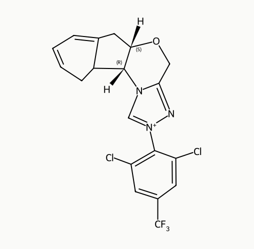 FC(F)(F)c1cc(Cl)c(-[n+]2cn3c(n2)CO[C@H]2CC4=CC=CCC4[C@H]23)c(Cl)c1